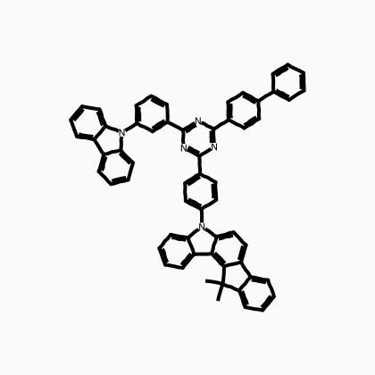 CC1(C)c2ccccc2-c2ccc3c(c21)c1ccccc1n3-c1ccc(-c2nc(-c3ccc(-c4ccccc4)cc3)nc(-c3cccc(-n4c5ccccc5c5ccccc54)c3)n2)cc1